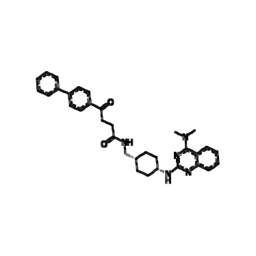 CN(C)c1nc(N[C@H]2CC[C@@H](CNC(=O)CCC(=O)c3ccc(-c4ccccc4)cc3)CC2)nc2ccccc12